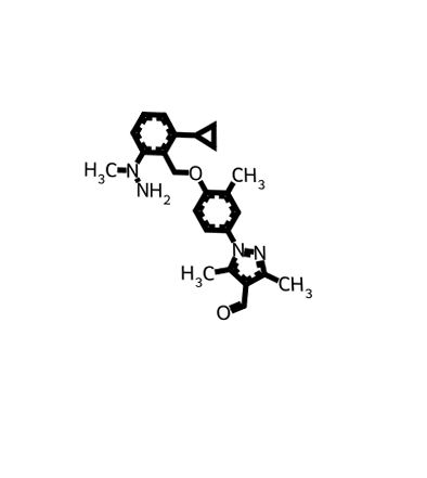 Cc1cc(-n2nc(C)c(C=O)c2C)ccc1OCc1c(C2CC2)cccc1N(C)N